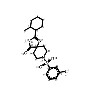 CC1CCCCC1C1=NC2(CCN(S(=O)(=O)c3cccc(Cl)c3)CC2)C(=O)N1